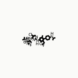 Cc1cc(Nc2ncc(Cl)c(Nc3cn(C)nc3S(=O)(=O)C(C)C)n2)c2c(c1C1CCC(NC(C)C)CC1)C[C@@H](C)O2